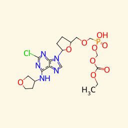 CCOC(=O)OCOP(=O)(O)COCC1CCC(n2cnc3c(NC4CCOC4)nc(Cl)nc32)O1